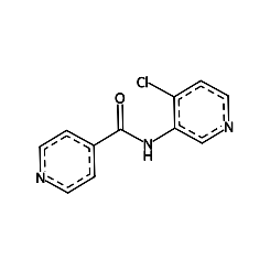 O=C(Nc1cnccc1Cl)c1ccncc1